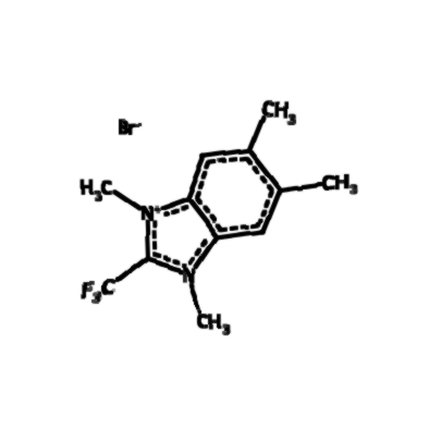 Cc1cc2c(cc1C)[n+](C)c(C(F)(F)F)n2C.[Br-]